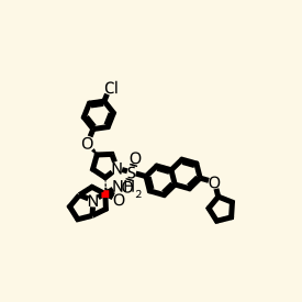 NC1CC2CCC(C1)N2C(=O)[C@@H]1C[C@@H](Oc2ccc(Cl)cc2)CN1S(=O)(=O)c1ccc2cc(OC3CCCC3)ccc2c1